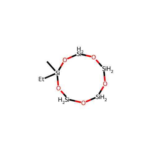 CC[Si]1(C)O[SiH2]O[SiH2]O[SiH2]O[SiH2]O1